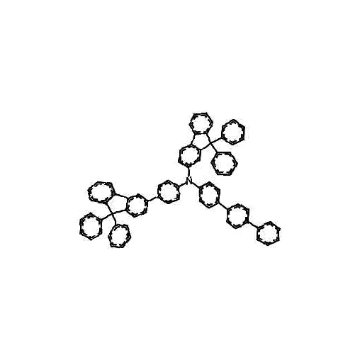 c1ccc(-c2ccc(-c3ccc(N(c4ccc(-c5ccc6c(c5)-c5ccccc5C6(c5ccccc5)c5ccccc5)cc4)c4ccc5c(c4)C(c4ccccc4)(c4ccccc4)c4ccccc4-5)cc3)cc2)cc1